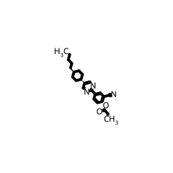 CCCCC[C@H]1CC[C@H](c2cnc(-c3ccc(OC(=O)CC)c(C#N)c3)nc2)CC1